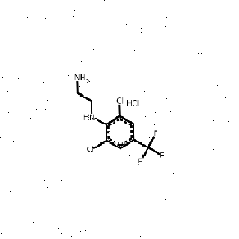 Cl.NCCNc1c(Cl)cc(C(F)(F)F)cc1Cl